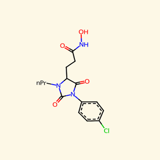 CCCN1C(=O)N(c2ccc(Cl)cc2)C(=O)C1CCC(=O)NO